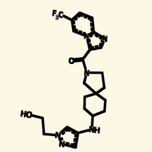 O=C(c1cnc2ccc(C(F)(F)F)cn12)N1CCC2(CCC(Nc3cnn(CCO)c3)CC2)C1